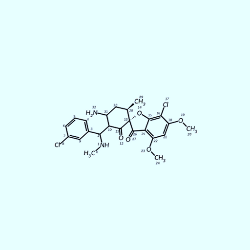 CNC(c1cccc(Cl)c1)C1C(=O)[C@@]2(Oc3c(Cl)c(OC)cc(OC)c3C2=O)[C@H](C)CC1N